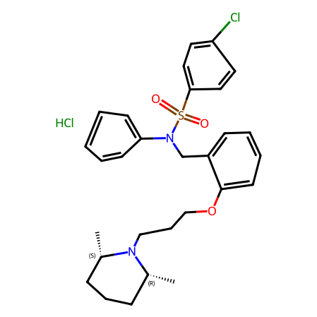 C[C@@H]1CCC[C@H](C)N1CCCOc1ccccc1CN(c1ccccc1)S(=O)(=O)c1ccc(Cl)cc1.Cl